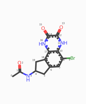 CC(=O)NC1Cc2cc(Br)c3[nH]c(=O)c(=O)[nH]c3c2C1